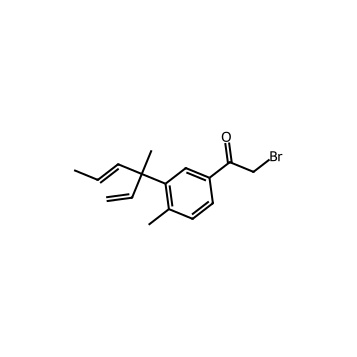 C=CC(C)(/C=C/C)c1cc(C(=O)CBr)ccc1C